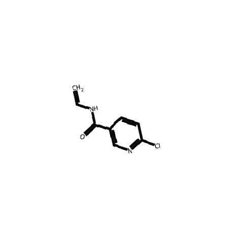 C=CNC(=O)c1ccc(Cl)nc1